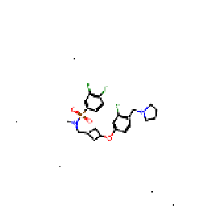 CN(CC1CC(Oc2ccc(CN3CCCC3)c(Cl)c2)C1)S(=O)(=O)c1ccc(F)c(F)c1